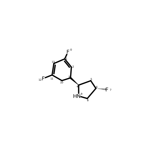 FC1=CC([C@H]2C[C@H](F)CN2)CC(F)=C1